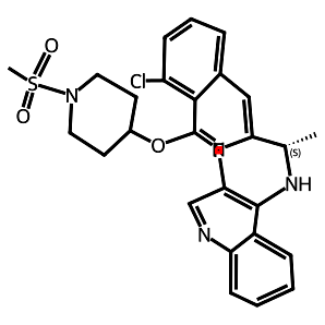 C[C@H](Nc1c(F)cnc2ccccc12)c1cc2cccc(Cl)c2c(OC2CCN(S(C)(=O)=O)CC2)n1